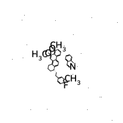 COc1cccc2c1c(OC)cc1c3c(ccc12)[C@H](CCc1ccc(F)c(C)c1)CCC3.c1ccc2cnccc2c1